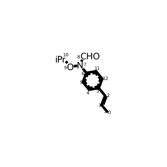 [CH2]/C=C/c1ccc(N(C=O)OC(C)C)cc1